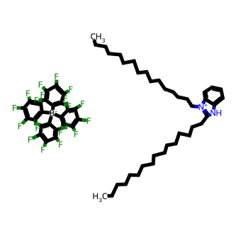 CCCCCCCCCCCCCCCCc1[nH]c2ccccc2[n+]1CCCCCCCCCCCCCCCC.Fc1c(F)c(F)c([B-](c2c(F)c(F)c(F)c(F)c2F)(c2c(F)c(F)c(F)c(F)c2F)c2c(F)c(F)c(F)c(F)c2F)c(F)c1F